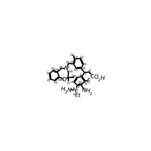 CCN(N)c1ccc(C(CC(=O)O)c2ccc(C)c(CN3Cc4ccccc4OC(C)(C)C3)c2)c(F)c1N